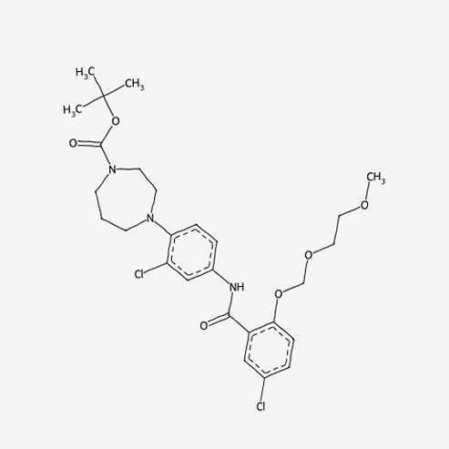 COCCOCOc1ccc(Cl)cc1C(=O)Nc1ccc(N2CCCN(C(=O)OC(C)(C)C)CC2)c(Cl)c1